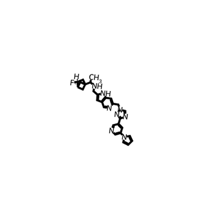 CC(NCc1cc2cnc(Cn3cnc(-c4cncc(-n5cccc5)c4)n3)cc2[nH]1)C12CC(C1)[C@@H](F)C2